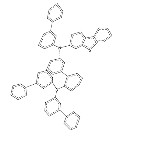 c1ccc(-c2cccc(N(c3cccc(-c4ccccc4N(c4cccc(-c5ccccc5)c4)c4cccc(-c5ccccc5)c4)c3)c3ccc4c(c3)sc3ccccc34)c2)cc1